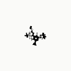 CCOC(=O)CC(N[S@+]([O-])C(C)(C)C)c1c(F)c(B2OC(C)(C)C(C)(C)O2)cc(C2CC2)c1F